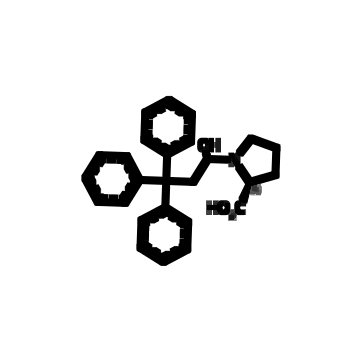 O=C(O)[C@@H]1CCCN1C(O)CC(c1ccccc1)(c1ccccc1)c1ccccc1